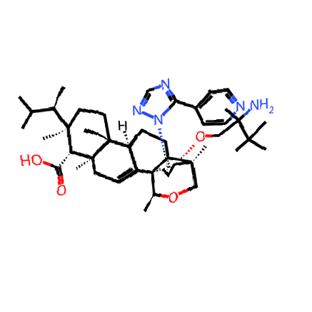 CC(C)[C@@H](C)[C@@]1(C)CC[C@]2(C)[C@H]3CC[C@@]4(C)[C@@]5(C)CO[C@@H](C)[C@@]4(C[C@@H](n4ncnc4-c4ccncc4)[C@@H]5OCC(C)(N)C(C)(C)C)C3=CC[C@@]2(C)[C@@H]1C(=O)O